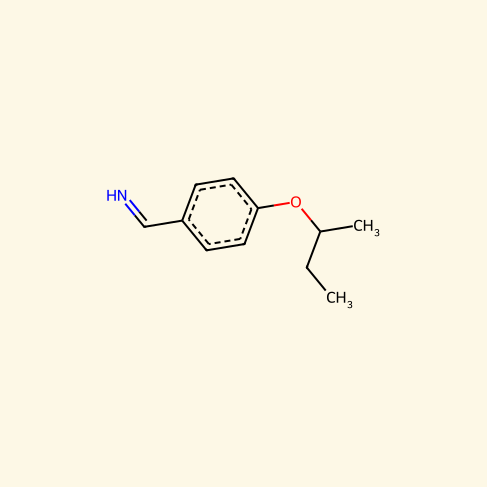 CCC(C)Oc1ccc(C=N)cc1